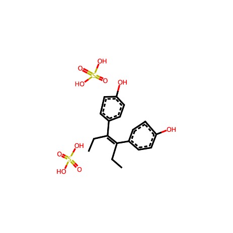 CCC(=C(CC)c1ccc(O)cc1)c1ccc(O)cc1.O=S(=O)(O)O.O=S(=O)(O)O